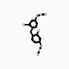 O=C=Nc1ccc(Cc2ccc(N=C=O)cc2Cl)c(Cl)c1